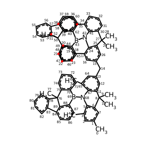 Cc1cc(C)c2c(c1)C(C)(C)c1cc(Cc3cc(-c4ccccc4)c4c(c3)C(C)(C)c3cccc(-c5ccccc5)c3N4B3c4ccccc4C4(C)c5ccccc5-c5cccc3c54)cc(C)c1N2B1c2ccccc2C2(C)c3ccccc3-c3cccc1c32